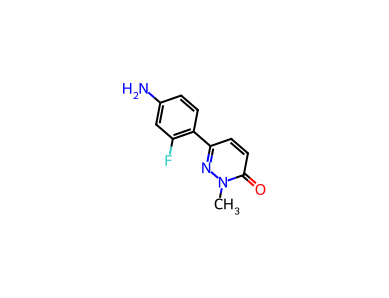 Cn1nc(-c2ccc(N)cc2F)ccc1=O